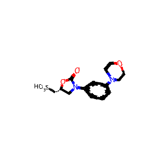 O=C1O[C@@H](CS(=O)(=O)O)CN1c1cccc(N2CCOCC2)c1